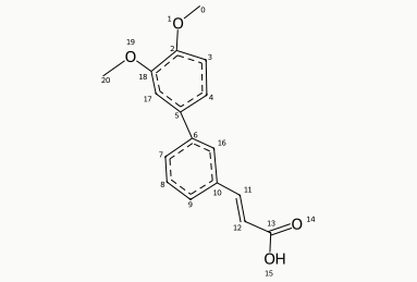 COc1ccc(-c2cccc(C=CC(=O)O)c2)cc1OC